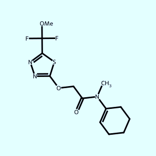 COC(F)(F)c1nnc(OCC(=O)N(C)C2=CCCCC2)s1